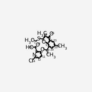 CCSc1oc2c([C@@H](C)Oc3ccc(Cl)nc3C(=O)O)cc(C)cc2c(=O)c1C